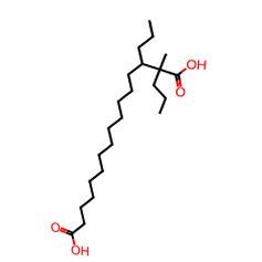 CCCC(CCCCCCCCCCCCC(=O)O)C(C)(CCC)C(=O)O